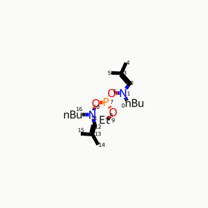 CCCCN(C=C(C)C)OP(OCC)ON(C=C(C)C)CCCC